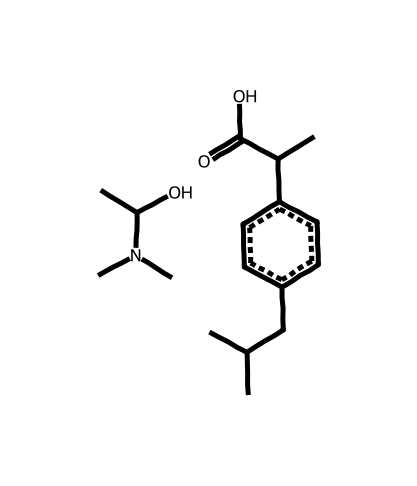 CC(C)Cc1ccc(C(C)C(=O)O)cc1.CC(O)N(C)C